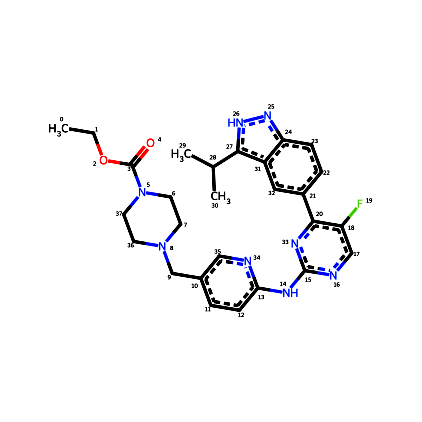 CCOC(=O)N1CCN(Cc2ccc(Nc3ncc(F)c(-c4ccc5n[nH]c(C(C)C)c5c4)n3)nc2)CC1